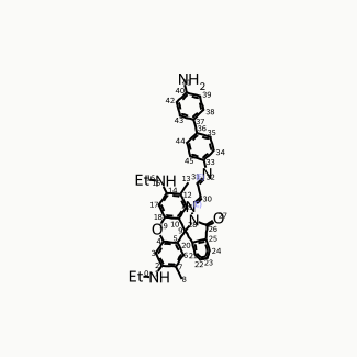 CCNc1cc2c(cc1C)C1(c3cc(C)c(NCC)cc3O2)c2ccccc2C(=O)N1/N=C/C=N/c1ccc(-c2ccc(N)cc2)cc1